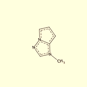 Cn1cnn2cccc12